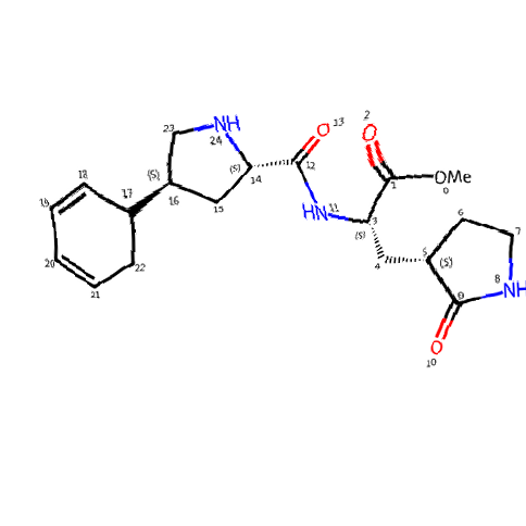 COC(=O)[C@H](C[C@@H]1CCNC1=O)NC(=O)[C@@H]1C[C@@H](C2C=CC=CC2)CN1